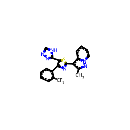 Cc1nn2ccccc2c1-c1nc(-c2ccccc2C(F)(F)F)c(-c2nnc[nH]2)s1